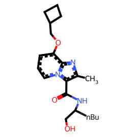 CCCCC(CO)NC(=O)c1c(C)nc2c(OCC3CCC3)cccn12